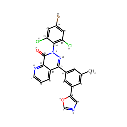 Cc1cc(-c2cnco2)cc(-c2nn(-c3c(Cl)cc(Br)cc3Cl)c(=O)c3ncccc23)c1